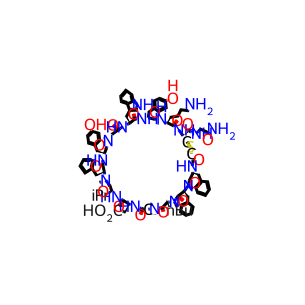 CCCC[C@H]1C(=O)N(C)CC(=O)N[C@@H](CC(=O)O)C(=O)N[C@@H](C(C)C)C(=O)N(C)[C@@H](Cc2ccccc2)C(=O)N[C@@H](Cc2ccc(O)cc2)C(=O)N(C)CC(=O)N[C@@H](Cc2c[nH]c3ccccc23)C(=O)NC(Cc2ccc(O)cc2)C(=O)N[C@@H](CCCCN)C(=O)N[C@H](C(=O)NCC(N)=O)CSCC(=O)N[C@@H](Cc2ccccc2)C(=O)N(C)[C@@H](Cc2ccccc2)C(=O)N1C